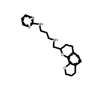 c1cnc(NCCCNCC2CCc3ccc4c(c3O2)OCCC4)nc1